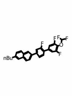 CCCCc1ccc2cc(-c3ccc(-c4cc(F)c(OC(F)F)c(F)c4)c(F)c3)ccc2c1